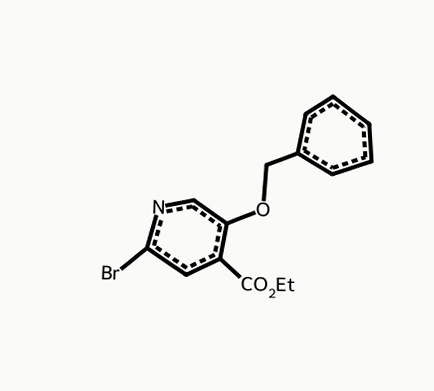 CCOC(=O)c1cc(Br)ncc1OCc1ccccc1